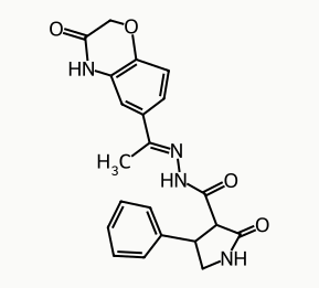 CC(=NNC(=O)C1C(=O)NCC1c1ccccc1)c1ccc2c(c1)NC(=O)CO2